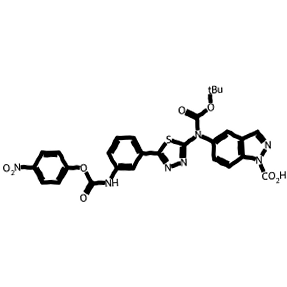 CC(C)(C)OC(=O)N(c1ccc2c(cnn2C(=O)O)c1)c1nnc(-c2cccc(NC(=O)Oc3ccc([N+](=O)[O-])cc3)c2)s1